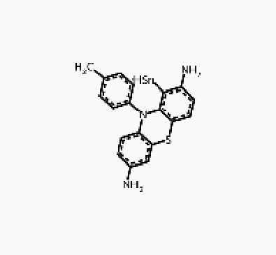 Cc1ccc(N2c3ccc(N)cc3Sc3ccc(N)[c]([SnH])c32)cc1